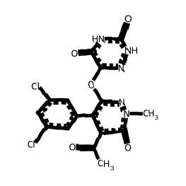 CC(=O)c1c(-c2cc(Cl)cc(Cl)c2)c(Oc2n[nH]c(=O)[nH]c2=O)nn(C)c1=O